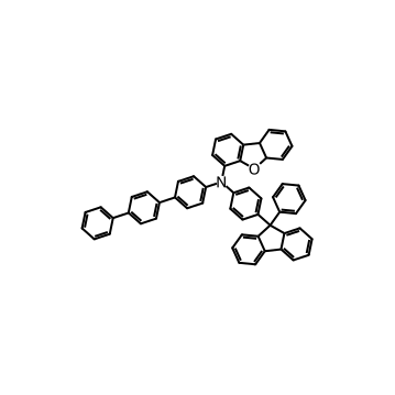 C1=CC2Oc3c(cccc3N(c3ccc(-c4ccc(-c5ccccc5)cc4)cc3)c3ccc(C4(c5ccccc5)c5ccccc5-c5ccccc54)cc3)C2C=C1